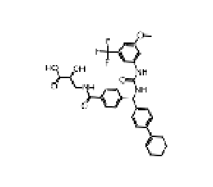 COc1cc(NC(=O)NC(c2ccc(C(=O)NCC(O)C(=O)O)cc2)c2ccc(C3=CCCCC3)cc2)cc(C(F)(F)F)c1